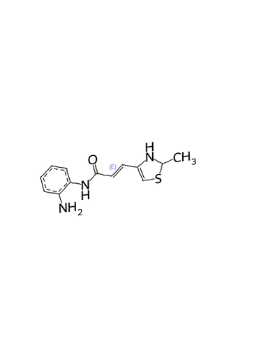 CC1NC(/C=C/C(=O)Nc2ccccc2N)=CS1